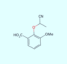 COc1cccc(C(=O)O)c1OC(C)C#N